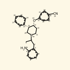 CC(Cc1ccccc1N)N1CC[C@@H](Oc2ccc(C#N)cc2)[C@@H](c2ccccc2)C1